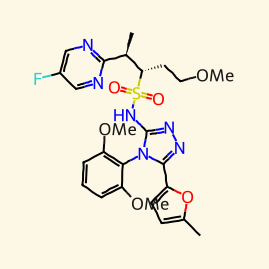 COCC[C@@H]([C@H](C)c1ncc(F)cn1)S(=O)(=O)Nc1nnc(-c2ccc(C)o2)n1-c1c(OC)cccc1OC